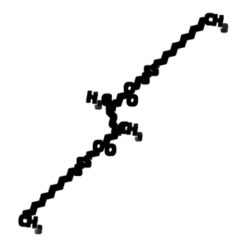 CCCCCCCCCCCCSSSCCOC(=O)CCN(C)CCCN(C)CCC(=O)OCCSSSCCCCCCCCCCCC